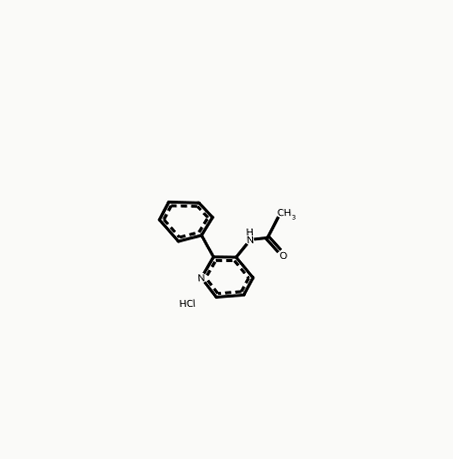 CC(=O)Nc1cccnc1-c1ccccc1.Cl